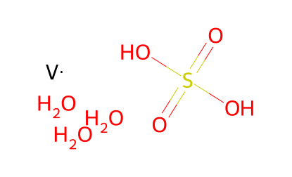 O.O.O.O=S(=O)(O)O.[V]